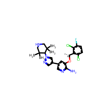 BC1(B)CNCC(B)(B)C1n1cc(-c2cnc(N)c(O[C@H](C)c3c(Cl)ccc(F)c3Cl)c2)cn1